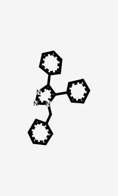 c1ccc(Cn2nnc(-c3ccccc3)c2-c2ccccc2)cc1